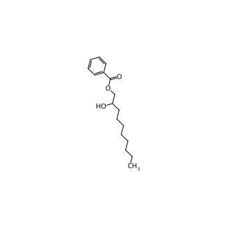 CCCCCCCCC(O)COC(=O)c1ccccc1